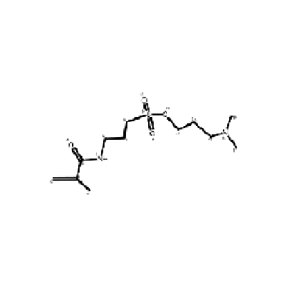 C=C(C)C(=O)NCCCS(=O)(=O)OCCCN(C)C